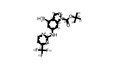 Bc1cc(Nc2nccc(C(F)(F)F)n2)cc2c1cnn2C(=O)OC(C)(C)C